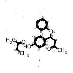 CC(=O)CC(Oc1ccccc1)c1ccc(O)cc1.CCC(C)=O